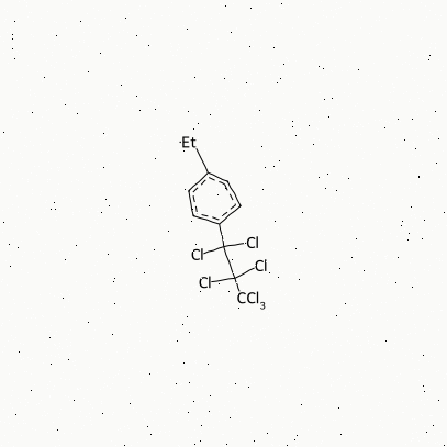 C[CH]c1ccc(C(Cl)(Cl)C(Cl)(Cl)C(Cl)(Cl)Cl)cc1